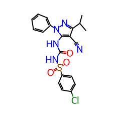 CC(C)c1nn(-c2ccccc2)c(NC(=O)NS(=O)(=O)c2ccc(Cl)cc2)c1C#N